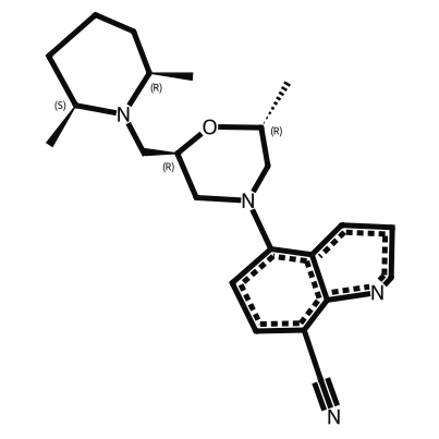 C[C@@H]1CN(c2ccc(C#N)c3ncccc23)C[C@@H](CN2[C@H](C)CCC[C@@H]2C)O1